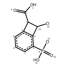 O=C(O)C1c2cccc(P(=O)(O)Cl)c2C1Cl